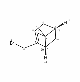 CC1(C)[C@@H]2CC=C(CBr)[C@H]1C2